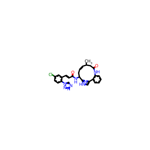 CC1/C=C\CC(NC(=O)/C=C/c2cc(Cl)ccc2-n2cnnn2)c2nc(c[nH]2)-c2ccccc2NC(=O)C1